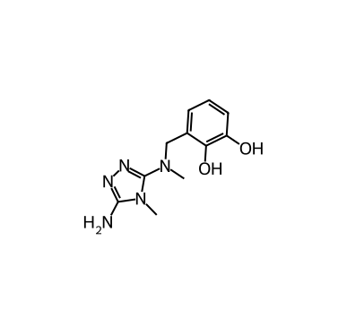 CN(Cc1cccc(O)c1O)c1nnc(N)n1C